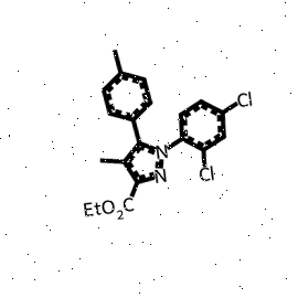 CCOC(=O)c1nn(-c2ccc(Cl)cc2Cl)c(-c2ccc(C)cc2)c1C